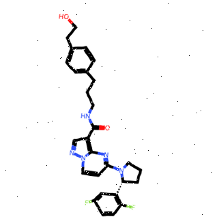 O=C(NCCCc1ccc(CCO)cc1)c1cnn2ccc(N3CCC[C@@H]3c3cc(F)ccc3F)nc12